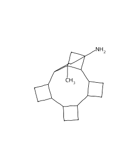 CC12CC3(N)CCC1C1CCC1C1CCC1C1CCC1C32